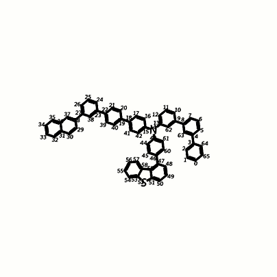 c1ccc(-c2cccc(-c3cccc(N(c4ccc(-c5ccc(-c6cccc(-c7ccc8ccccc8c7)c6)cc5)cc4)c4ccc(-c5cccc6sc7ccccc7c56)cc4)c3)c2)cc1